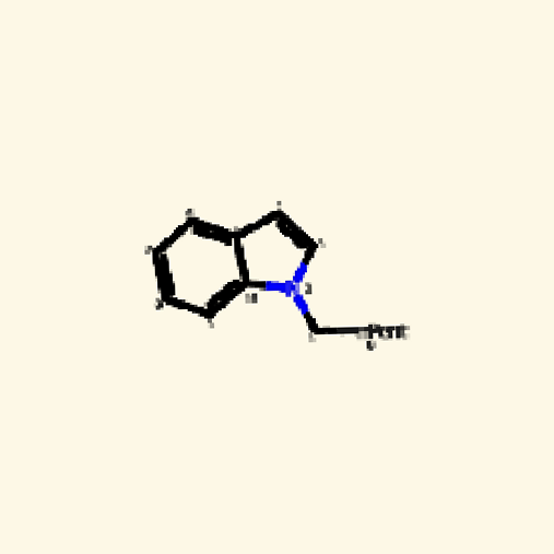 CCCCCCn1c[c]c2ccccc21